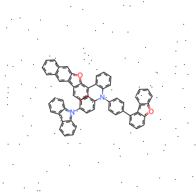 c1ccc(N(c2ccc(-c3cccc4oc5ccccc5c34)cc2)c2ccc(-n3c4ccccc4c4ccccc43)cc2)c(-c2cccc3c2oc2cc4ccccc4cc23)c1